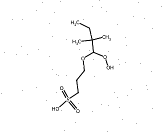 CCC(C)(C)C(OO)OCCCS(=O)(=O)O